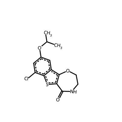 CC(C)Oc1cc(Cl)c2sc3c(c2c1)OCCNC3=O